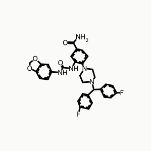 NC(=O)c1ccc(N2CCN(C(c3ccc(F)cc3)c3ccc(F)cc3)CC2)c(NC(=O)Nc2ccc3c(c2)OCO3)c1